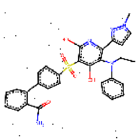 CCN(c1ccccc1)c1c(-c2ccn(C)n2)nc(O)c(S(=O)(=O)c2ccc(-c3ccccc3C(N)=O)cc2)c1O